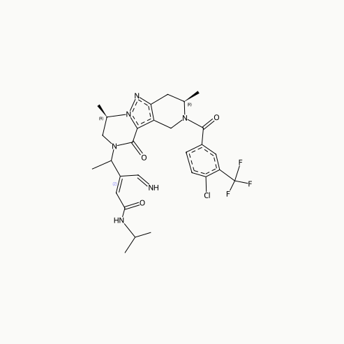 CC(C)NC(=O)/C=C(\C=N)C(C)N1C[C@@H](C)n2nc3c(c2C1=O)CN(C(=O)c1ccc(Cl)c(C(F)(F)F)c1)[C@H](C)C3